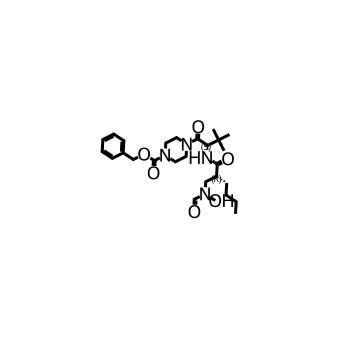 CCCC[C@H](CN(O)C=O)C(=O)N[C@H](C(=O)N1CCN(C(=O)OCc2ccccc2)CC1)C(C)(C)C